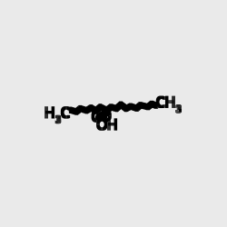 CCCCCCCCCCCC(CCCCCCCC)OC(=O)O